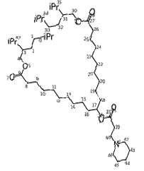 CC(C)CCC(COC(=O)CCCCCCCCCC(CCCCCCCCCC(=O)OCC(CCC(C)C)C(C)C)OC(=O)CCN1CCCCC1)C(C)C